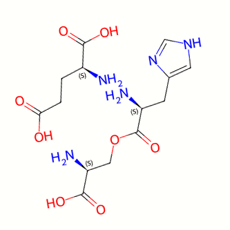 N[C@@H](CCC(=O)O)C(=O)O.N[C@@H](COC(=O)[C@@H](N)Cc1c[nH]cn1)C(=O)O